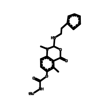 Cc1c(OC(=O)NC(C)(C)C)ccc2c1C(=O)OC(NCCc1ccccc1)N2C